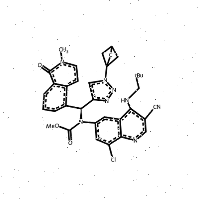 [CH2]OC(=O)N(c1cc(Cl)c2ncc(C#N)c(NCC(C)(C)C)c2c1)[C@H](c1cn(C23CC(C2)C3)nn1)c1cccc2c(=O)n(C)ccc12